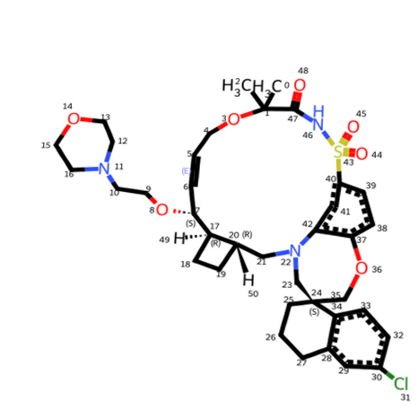 CC1(C)OC/C=C/[C@@H](OCCN2CCOCC2)[C@@H]2CC[C@H]2CN2C[C@@]3(CCCc4cc(Cl)ccc43)COc3ccc(cc32)S(=O)(=O)NC1=O